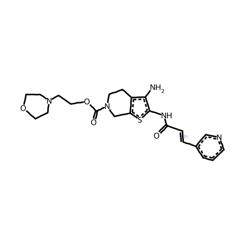 Nc1c(NC(=O)/C=C/c2cccnc2)sc2c1CCN(C(=O)OCCN1CCOCC1)C2